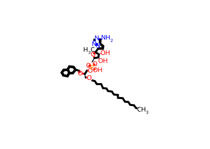 CCCCCCCCCCCCCCCCCCOC[C@H](COP(=O)(O)OC[C@H]1O[C@@](C)(c2ccc3c(N)ncnn23)[C@H](O)[C@@H]1O)OCc1ccc2ccccc2c1